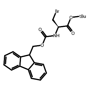 CC(C)(C)OC(=O)[C@H](CBr)NC(=O)OCC1c2ccccc2-c2ccccc21